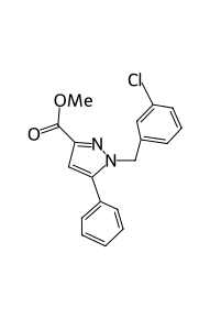 COC(=O)c1cc(-c2ccccc2)n(Cc2cccc(Cl)c2)n1